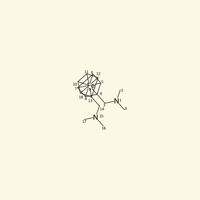 CN(C)C[C]12[CH]3[CH]4[CH]5[CH]1[Fe]45321678[CH]2[CH]1[CH]6[C]7(CN(C)C)[CH]28